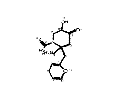 O=C1CC(CO)(CC2=CCC=CO2)N(C(=S)S)CC1O